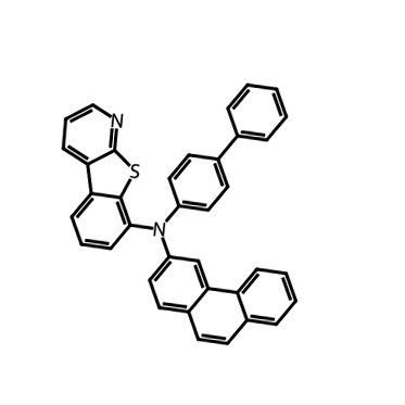 c1ccc(-c2ccc(N(c3ccc4ccc5ccccc5c4c3)c3cccc4c3sc3ncccc34)cc2)cc1